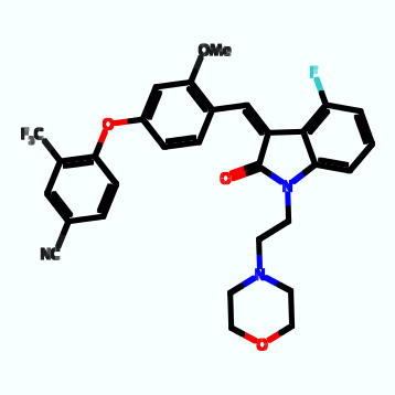 COc1cc(Oc2ccc(C#N)cc2C(F)(F)F)ccc1C=C1C(=O)N(CCN2CCOCC2)c2cccc(F)c21